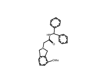 COc1cccc2c1CN(CC(=O)NC(c1ccccc1)c1ccccc1)C2